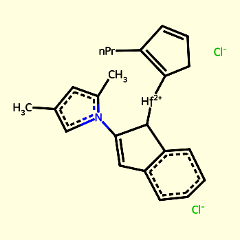 CCCC1=[C]([Hf+2][CH]2C(n3cc(C)cc3C)=Cc3ccccc32)CC=C1.[Cl-].[Cl-]